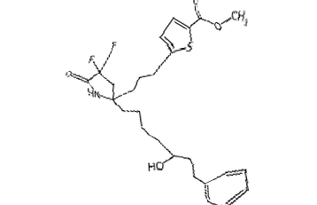 COC(=O)c1ccc(CCCC2(CCCCC(O)CCc3ccccc3)CC(F)(F)C(=O)N2)s1